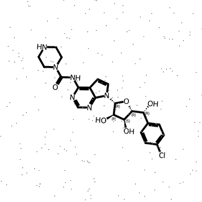 O=C(Nc1ncnc2c1ccn2[C@@H]1O[C@H]([C@H](O)c2ccc(Cl)cc2)[C@@H](O)[C@H]1O)N1CCNCC1